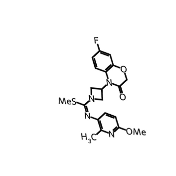 COc1ccc(/N=C(/SC)N2CC(N3C(=O)COc4cc(F)ccc43)C2)c(C)n1